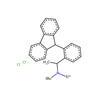 CC(c1ccccc1C1c2ccccc2-c2ccccc21)[N]([Ti+2])C(C)(C)C.[Cl-].[Cl-]